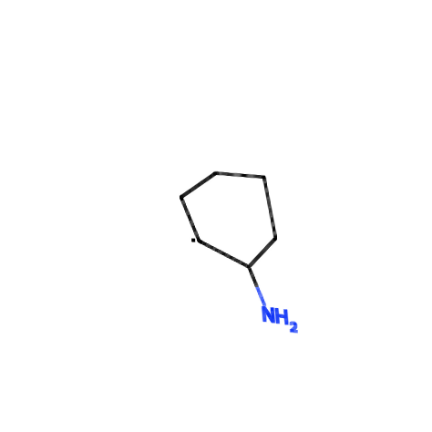 NC1[CH]CCCC1